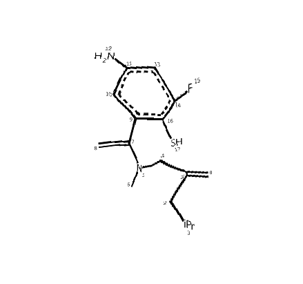 C=C(CC(C)C)CN(C)C(=C)c1cc(N)cc(F)c1S